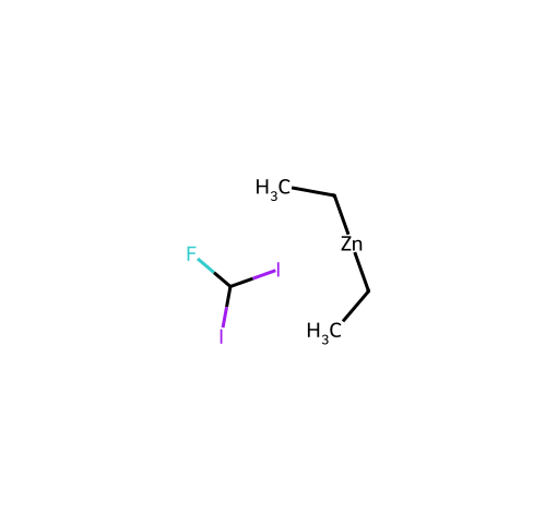 C[CH2][Zn][CH2]C.FC(I)I